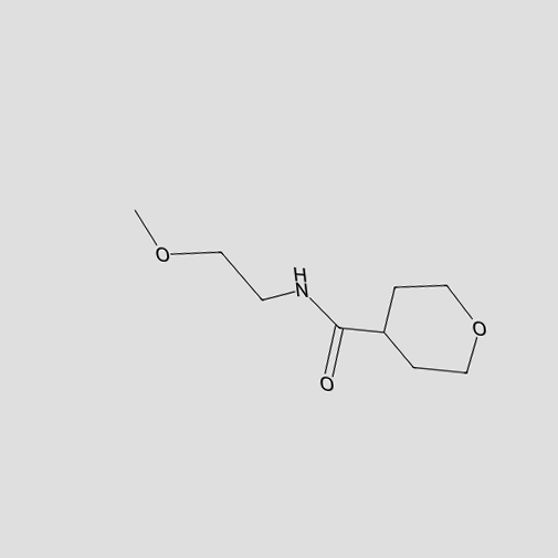 COCCNC(=O)C1CCOCC1